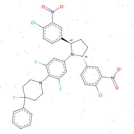 O=[N+]([O-])c1cc([C@H]2CC[C@H](c3ccc(Cl)c([N+](=O)[O-])c3)N2c2cc(F)c(N3CCC(F)(c4ccccc4)CC3)c(F)c2)ccc1Cl